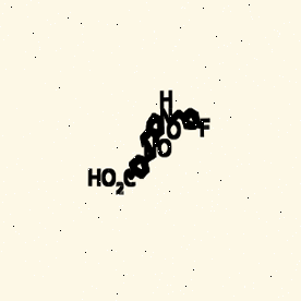 O=C(Cc1ccc(F)cc1)Nc1ccc2ccn(Cc3ccc(C(=O)O)cc3)c(=O)c2c1